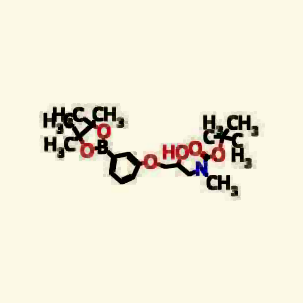 CN(CC(O)COc1cccc(B2OC(C)(C)C(C)(C)O2)c1)C(=O)OC(C)(C)C